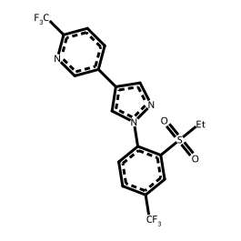 CCS(=O)(=O)c1cc(C(F)(F)F)ccc1-n1cc(-c2ccc(C(F)(F)F)nc2)cn1